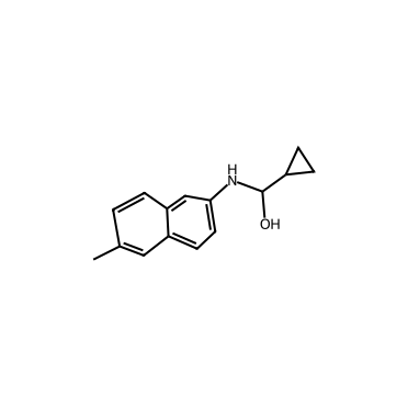 Cc1ccc2cc(NC(O)C3CC3)ccc2c1